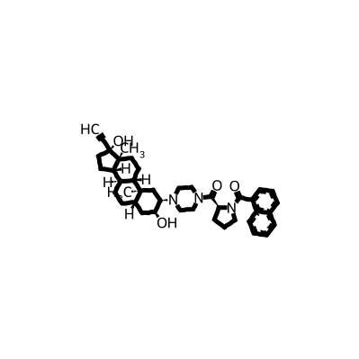 C#C[C@]1(O)CC[C@H]2[C@@H]3CC[C@H]4C[C@H](O)[C@@H](N5CCN(C(=O)[C@@H]6CCCN6C(=O)c6cccc7ccccc67)CC5)C[C@]4(C)[C@H]3CC[C@@]21C